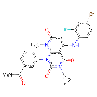 CNC(=O)c1cccc(-n2c(=O)n(C3CC3)c(=O)c3c(Nc4ccc(Br)cc4F)cc(=O)n(C)c32)c1